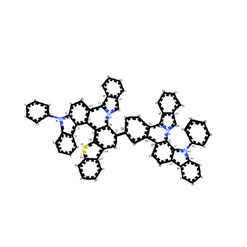 c1ccc(-n2c3ccccc3c3c4c(ccc32)c2c3ccccc3cn2c2c(-c3ccc5c(c3)c3ccc6c7ccccc7n(-c7ccccc7)c6c3n3cc6ccccc6c53)cc3c5ccccc5sc3c42)cc1